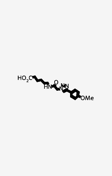 COc1ccc(-c2cn(CC(=O)NCCCCCC(=O)O)nn2)cc1